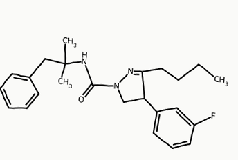 CCCCC1=NN(C(=O)NC(C)(C)Cc2ccccc2)CC1c1cccc(F)c1